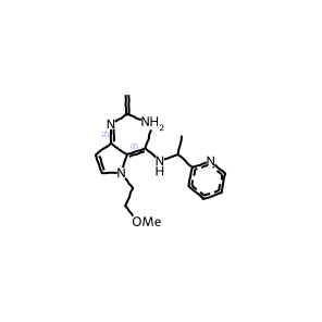 C=C(N)/N=C1/C=CN(CCOC)/C1=C(/C)NC(C)c1ccccn1